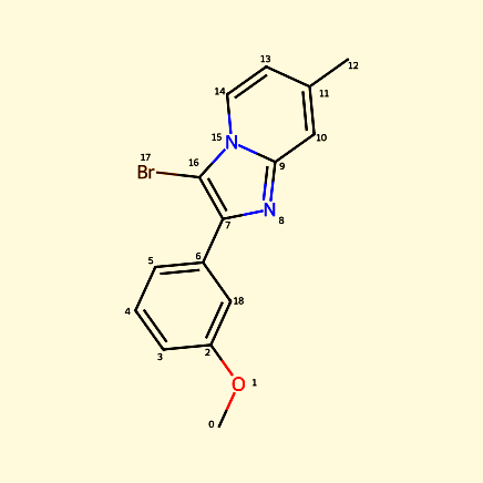 COc1cccc(-c2nc3cc(C)ccn3c2Br)c1